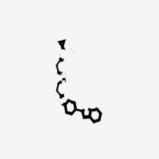 N#CC1(NC(=O)Cc2nnc(Cc3nc4ccc(-c5cc6ccccc6s5)cc4s3)o2)CC1